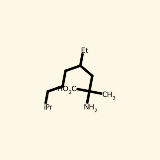 CCC(CCCC(C)C)CC(C)(N)C(=O)O